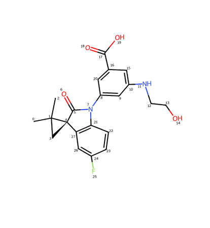 CC1(C)C[C@]12C(=O)N(c1cc(NCCO)cc(C(=O)O)c1)c1ccc(F)cc12